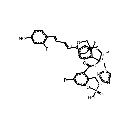 C[C@@H](SC1COC(C=CC=Cc2ccc(C#N)cc2F)OC1)[C@@](Cn1cncn1)(OC(=O)c1cc(F)ccc1COP(=O)(O)O)c1ccc(F)cc1F